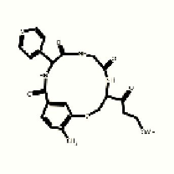 COCCC(=O)C1CSc2cc(ccc2C)C(=O)NC(c2ccncc2)C(=O)NCC(=O)N1